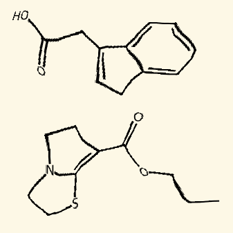 CCCOC(=O)C1=C2SCCN2CC1.O=C(O)CC1=CCc2ccccc21